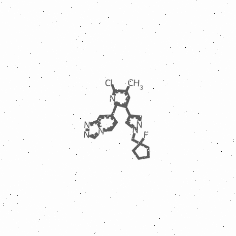 Cc1cc(-c2cnn(CC3(F)CCCC3)c2)c(-c2ccn3cnnc3c2)nc1Cl